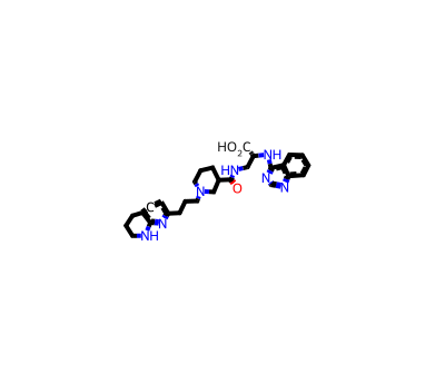 O=C(NCC(Nc1ncnc2ccccc12)C(=O)O)C1CCCN(CCCc2ccc3c(n2)NCCC3)C1